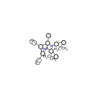 CC1(C)c2ccccc2-c2ccc(N3c4cc5c(cc4B4c6c(cc(-c7ccccc7)cc63)-c3cc(C67CC8CC(CC(C8)C6)C7)cc6c7cc(C89CC%10CC(CC(C%10)C8)C9)ccc7n4c36)C(C)(C)c3ccccc3-5)cc21